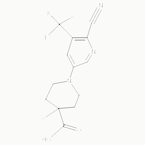 N#Cc1ncc(N2CCC(F)(C(=O)O)CC2)cc1C(F)(F)F